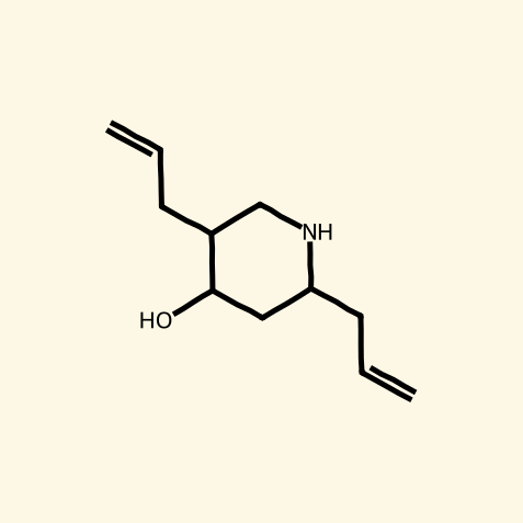 C=CCC1CC(O)C(CC=C)CN1